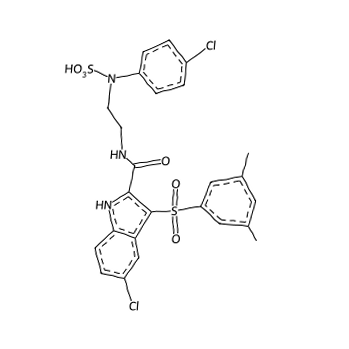 Cc1cc(C)cc(S(=O)(=O)c2c(C(=O)NCCN(c3ccc(Cl)cc3)S(=O)(=O)O)[nH]c3ccc(Cl)cc23)c1